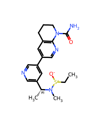 CC[S+]([O-])N(C)[C@H](C)c1cncc(-c2cnc3c(c2)CCCN3C(N)=O)c1